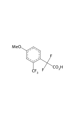 COc1ccc(C(F)(F)C(=O)O)c(C(F)(F)F)c1